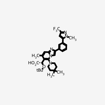 Cc1cc2nc(-c3cccc(-c4cc(C(F)(F)F)nn4C)c3)cn2c(N2CCC(C)(C)CC2)c1[C@H](OC(C)(C)C)C(=O)O